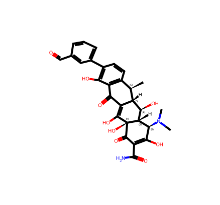 C[C@@H]1c2ccc(-c3cccc(C=O)c3)c(O)c2C(=O)C2=C(O)[C@@]3(O)C(=O)C(C(N)=O)=C(O)[C@H](N(C)C)[C@H]3[C@H](O)[C@H]21